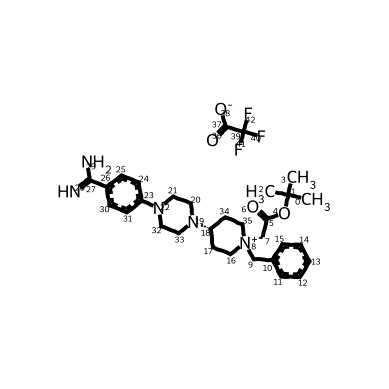 CC(C)(C)OC(=O)C[N@+]1(Cc2ccccc2)CC[C@H](N2CCN(c3ccc(C(=N)N)cc3)CC2)CC1.O=C([O-])C(F)(F)F